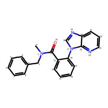 CN(Cc1ccccc1)C(=O)c1ccccc1-n1cnc2cccnc21